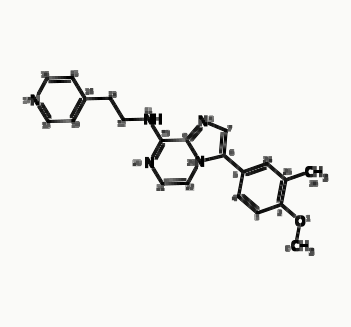 COc1ccc(-c2cnc3c(NCCc4ccncc4)nccn23)cc1C